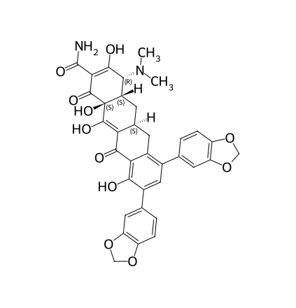 CN(C)[C@H]1C(O)=C(C(N)=O)C(=O)[C@@]2(O)C(O)=C3C(=O)c4c(O)c(-c5ccc6c(c5)OCO6)cc(-c5ccc6c(c5)OCO6)c4C[C@@H]3C[C@@H]12